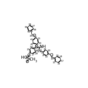 CS(=O)(=O)O.N=C(Nc1ccc(OCc2ccccc2)cc1)N(c1ccccc1)c1ccc(OCc2ccccc2)cc1